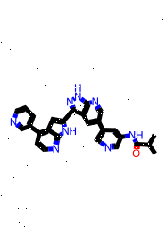 CC(C)C(=O)Nc1cncc(-c2cnc3[nH]nc(-c4cc5c(-c6cccnc6)ccnc5[nH]4)c3c2)c1